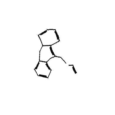 O=COCC1=C2C=CC=CC2Cc2ccccc21